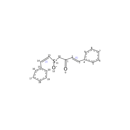 O=C(/C=C/c1ccccc1)C[S+]([O-])/C=C\c1ccccc1